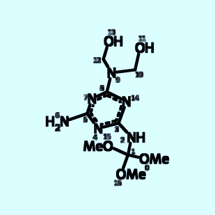 COC(Nc1nc(N)nc(N(CO)CO)n1)(OC)OC